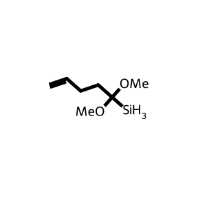 C=CCCC([SiH3])(OC)OC